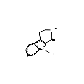 CC(C)n1c2c(c3ccccc31)CCN(C)C2=O